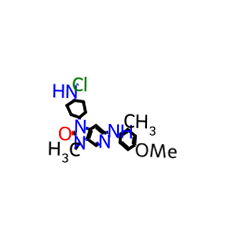 COc1ccc(Nc2cc3c(cn2)n(C)c(=O)n3C2CCC(NCl)CC2)c(C)c1